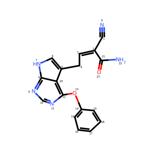 N#CC(=CCc1c[nH]c2ncnc(Oc3ccccc3)c12)C(N)=O